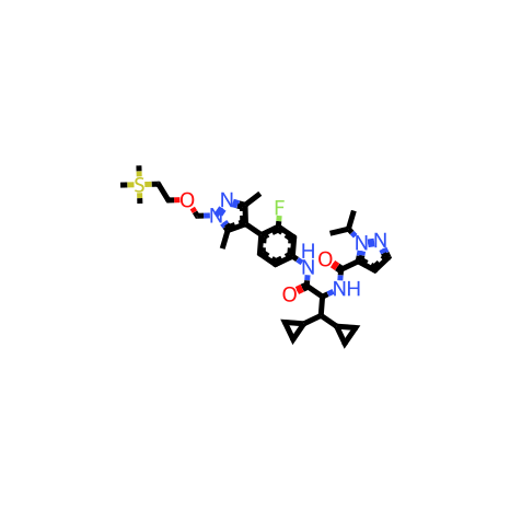 Cc1nn(COCCS(C)(C)C)c(C)c1-c1ccc(NC(=O)C(NC(=O)c2ccnn2C(C)C)C(C2CC2)C2CC2)cc1F